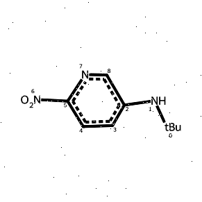 CC(C)(C)Nc1ccc([N+](=O)[O-])nc1